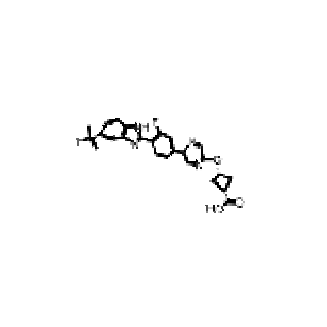 CC(C)(F)c1ccc2[nH]c(-c3ccc(-c4cnc(O[C@H]5C[C@@H](C(=O)O)C5)cn4)cc3F)nc2c1